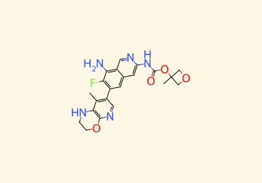 Cc1c(-c2cc3cc(NC(=O)OC4(C)COC4)ncc3c(N)c2F)cnc2c1NCCO2